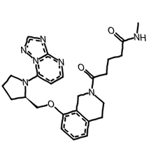 CNC(=O)CCCC(=O)N1CCc2cccc(OC[C@H]3CCCN3c3ccnc4ncnn34)c2C1